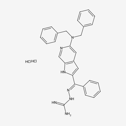 Cl.Cl.N=C(N)N/N=C(\c1ccccc1)c1cc2cc(N(Cc3ccccc3)Cc3ccccc3)ncc2[nH]1